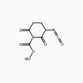 CC(C)(C)OC(=O)N1C(=O)CCC(N=C=O)C1=O